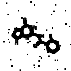 Cc1ccccc1C(=O)Nc1nc2[nH]cnc2c(=O)[nH]1